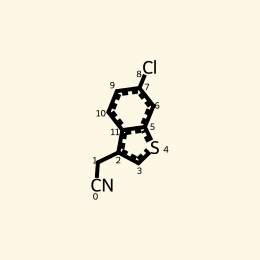 N#CCc1csc2cc(Cl)ccc12